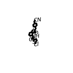 N#CCc1ccc(CN2Cc3cccc(NC(=O)c4ccc(Cl)s4)c3C2=O)cc1